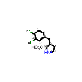 O=C(O)[C@H]1NCCC1Cc1ccc(F)c(F)c1